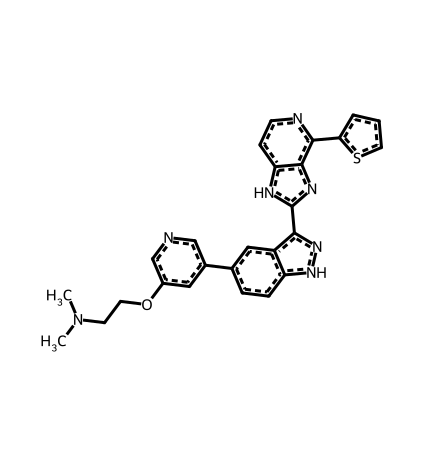 CN(C)CCOc1cncc(-c2ccc3[nH]nc(-c4nc5c(-c6cccs6)nccc5[nH]4)c3c2)c1